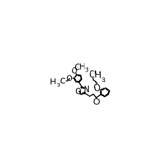 CCCOc1ccccc1C(=O)CCc1coc(-c2ccc(OC)c(OCC)c2)n1